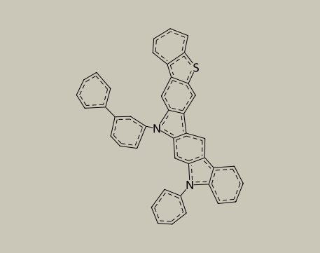 c1ccc(-c2cccc(-n3c4cc5c(cc4c4cc6c7ccccc7n(-c7ccccc7)c6cc43)sc3ccccc35)c2)cc1